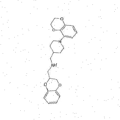 c1ccc2c(c1)OCC(CNCC1CCN(c3cccc4c3OCCO4)CC1)O2